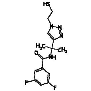 CC(C)(NC(=O)c1cc(F)cc(F)c1)c1cn(CCS)nn1